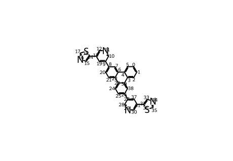 c1ccc2c(c1)c1cc(-c3cncc(-c4cncs4)c3)ccc1c1ccc(-c3cncc(-c4cncs4)c3)cc21